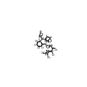 CON=C(c1ccon1)c1ccccc1CON=C(C)C(C)=NN(C)C